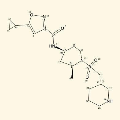 C[C@H]1C[C@@H](NC(=O)c2cc(C3CC3)on2)CCN1S(=O)(=O)C[C@H]1CCCNC1